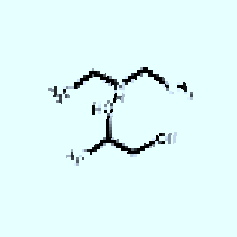 CC(O)CO.CCNCC